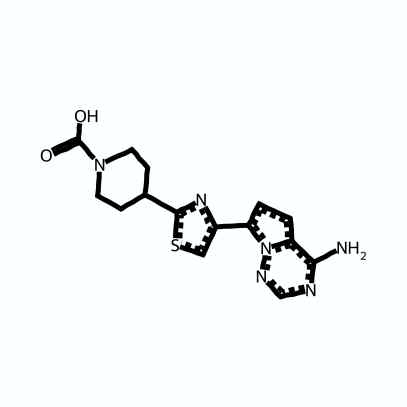 Nc1ncnn2c(-c3csc(C4CCN(C(=O)O)CC4)n3)ccc12